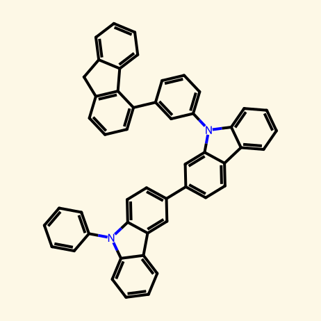 c1ccc(-n2c3ccccc3c3cc(-c4ccc5c6ccccc6n(-c6cccc(-c7cccc8c7-c7ccccc7C8)c6)c5c4)ccc32)cc1